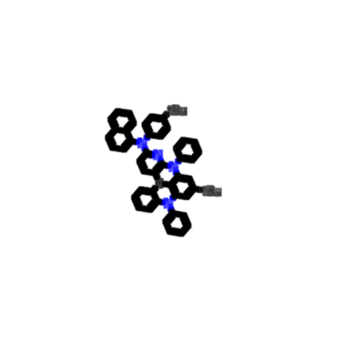 CC(C)(C)c1ccc(N(c2ccc3c(n2)N(c2ccccc2)c2cc(C(C)(C)C)cc4c2B3c2ccccc2N4c2ccccc2)c2cccc3ccccc23)cc1